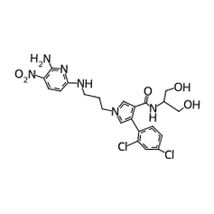 Nc1nc(NCCCn2cc(C(=O)NC(CO)CO)c(-c3ccc(Cl)cc3Cl)c2)ccc1[N+](=O)[O-]